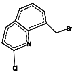 Clc1ccc2cccc(CBr)c2n1